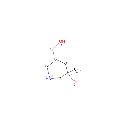 CC1(O)CNC[C@H](CO)C1